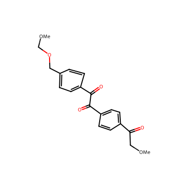 COCOCc1ccc(C(=O)C(=O)c2ccc(C(=O)COC)cc2)cc1